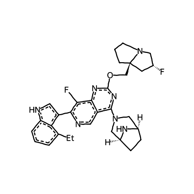 CCc1cccc2[nH]cc(-c3ncc4c(N5C[C@H]6CC[C@@H](C5)N6)nc(OC[C@@]56CCCN5C[C@H](F)C6)nc4c3F)c12